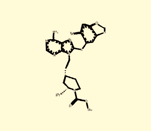 CC(C)[C@@H]1C[C@H](CCn2c(Sc3cc4c(cc3Br)OCO4)nc3c(N)ncnc32)CCN1C(=O)OC(C)(C)C